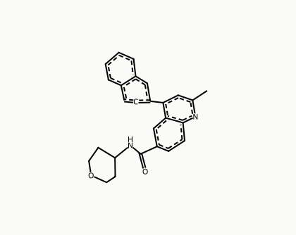 Cc1cc(-c2ccc3ccccc3c2)c2cc(C(=O)NC3CCOCC3)ccc2n1